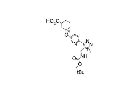 Cn1nnc(-c2ccc(O[C@H]3CCCC(C(=O)O)C3)cn2)c1CNC(=O)OCC(C)(C)C